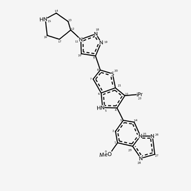 COc1cc(-c2[nH]c3cc(-c4cn(C5CCNCC5)nn4)sc3c2C(C)C)cn2ncnc12